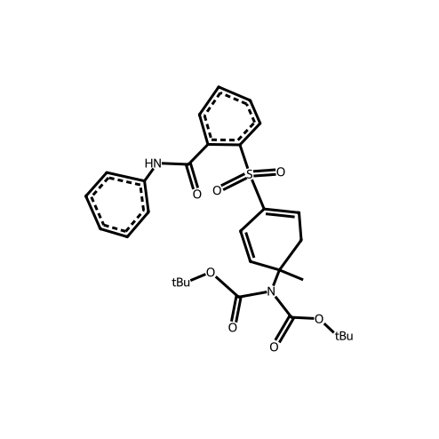 CC(C)(C)OC(=O)N(C(=O)OC(C)(C)C)C1(C)C=CC(S(=O)(=O)c2ccccc2C(=O)Nc2ccccc2)=CC1